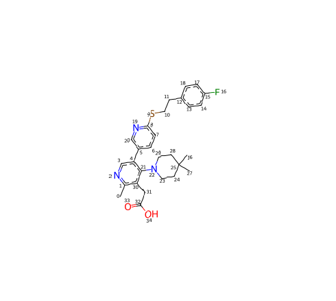 Cc1ncc(-c2ccc(SCCc3ccc(F)cc3)nc2)c(N2CCC(C)(C)CC2)c1CC(=O)O